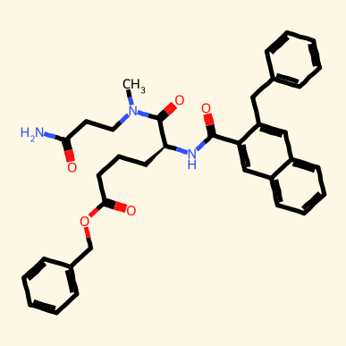 CN(CCC(N)=O)C(=O)[C@H](CCCC(=O)OCc1ccccc1)NC(=O)c1cc2ccccc2cc1Cc1ccccc1